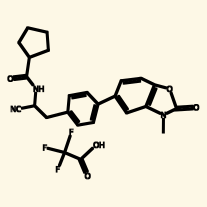 Cn1c(=O)oc2ccc(-c3ccc(CC(C#N)NC(=O)C4CCCC4)cc3)cc21.O=C(O)C(F)(F)F